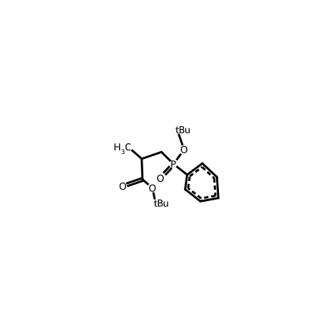 CC(CP(=O)(OC(C)(C)C)c1ccccc1)C(=O)OC(C)(C)C